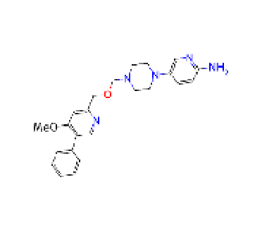 COc1cc(COCN2CCN(c3ccc(N)nc3)CC2)ncc1-c1ccccc1